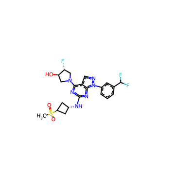 CS(=O)(=O)[C@H]1C[C@H](Nc2nc(N3C[C@@H](O)[C@H](F)C3)c3cnn(-c4cccc(C(F)F)c4)c3n2)C1